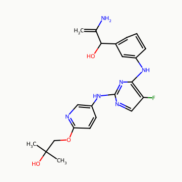 C=C(N)C(O)c1cccc(Nc2nc(Nc3ccc(OCC(C)(C)O)nc3)ncc2F)c1